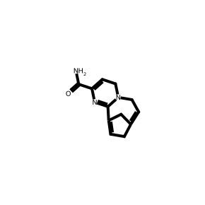 NC(=O)C1=CCN2CC=C3CC=C(C3)C2=N1